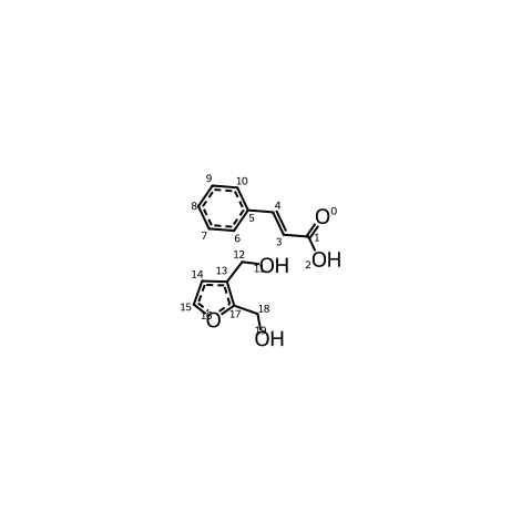 O=C(O)/C=C/c1ccccc1.OCc1ccoc1CO